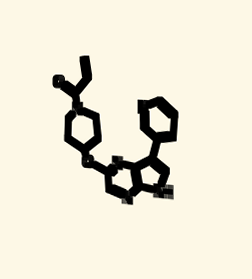 C=CC(=O)N1CCC(Oc2cnc3[nH]cc(-c4cccnc4)c3n2)CC1